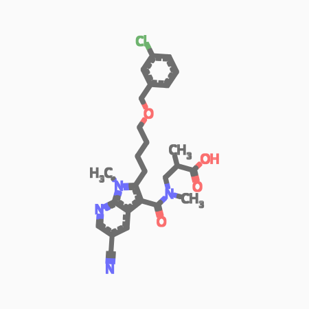 CC(CN(C)C(=O)c1c(CCCCOCc2cccc(Cl)c2)n(C)c2ncc(C#N)cc12)C(=O)O